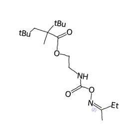 CC/C(C)=N\OC(=O)NCCOC(=O)C(C)(CC(C)(C)C)C(C)(C)C